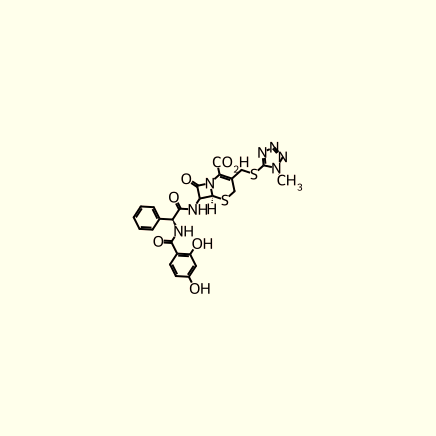 Cn1nnnc1SCC1=C(C(=O)O)N2C(=O)C(NC(=O)[C@@H](NC(=O)c3ccc(O)cc3O)c3ccccc3)[C@@H]2SC1